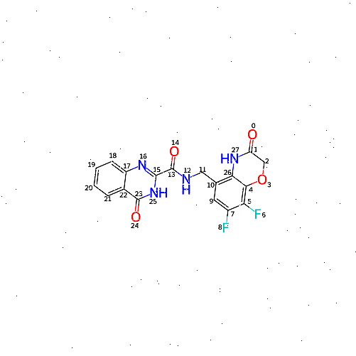 O=C1COc2c(F)c(F)cc(CNC(=O)c3nc4ccccc4c(=O)[nH]3)c2N1